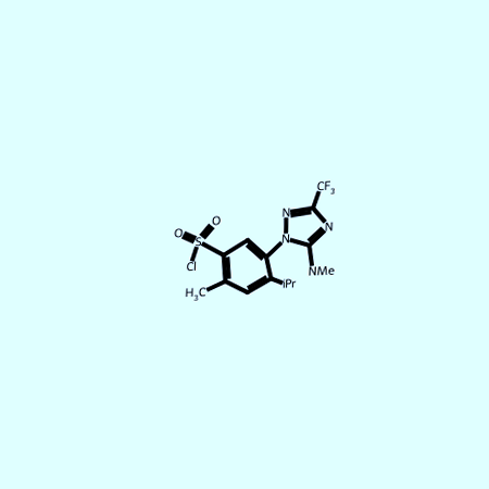 CNc1nc(C(F)(F)F)nn1-c1cc(S(=O)(=O)Cl)c(C)cc1C(C)C